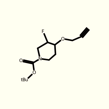 C#CCOC1CCN(C(=O)OC(C)(C)C)CC1F